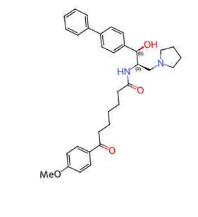 COc1ccc(C(=O)CCCCCC(=O)N[C@H](CN2CCCC2)[C@H](O)c2ccc(-c3ccccc3)cc2)cc1